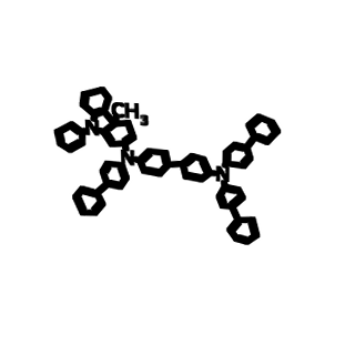 CC12CC=C(N(c3ccc(-c4ccccc4)cc3)c3ccc(-c4ccc(N(c5ccc(-c6ccccc6)cc5)c5ccc(-c6ccccc6)cc5)cc4)cc3)C=C1N(c1ccccc1)C1=C2CCC=C1